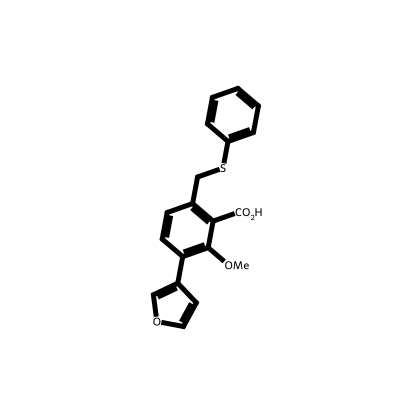 COc1c(-c2ccoc2)ccc(CSc2ccccc2)c1C(=O)O